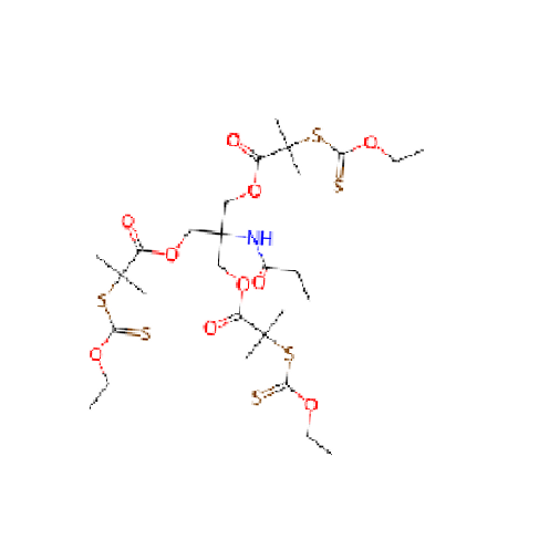 CCOC(=S)SC(C)(C)C(=O)OCC(COC(=O)C(C)(C)SC(=S)OCC)(COC(=O)C(C)(C)SC(=S)OCC)NC(=O)CC